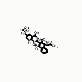 C=C(C)CC1(NOC)C(=O)C(C2SC(O)C3=C(NCC(NS(C)(=O)=O)=C3)N2O)=C(O)c2ccccc21